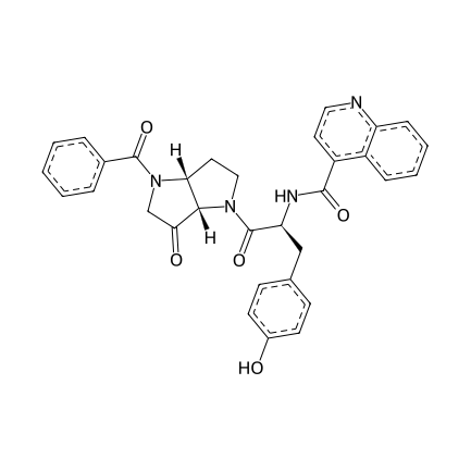 O=C(N[C@@H](Cc1ccc(O)cc1)C(=O)N1CC[C@@H]2[C@H]1C(=O)CN2C(=O)c1ccccc1)c1ccnc2ccccc12